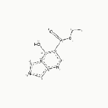 CCOC(=O)c1cnc2cnnn2c1O